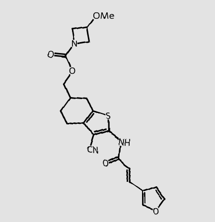 COC1CN(C(=O)OCC2CCc3c(sc(NC(=O)C=Cc4ccoc4)c3C#N)C2)C1